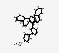 NC1CCC(C2CCCC(C3=C4CCC5CCCCC5C4=NC4C3CCC3CCCCC34)C2)CC1